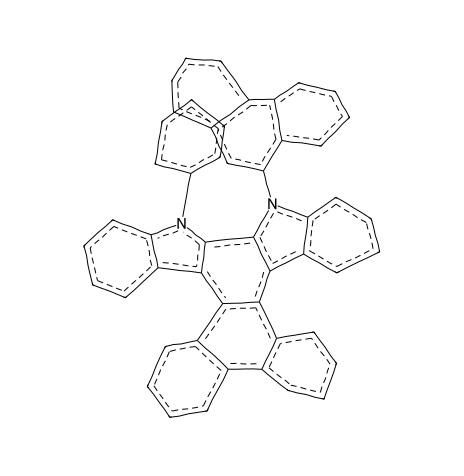 c1ccc(-n2c3ccccc3c3c4c5ccccc5c5ccccc5c4c4c5ccccc5n(-c5cc6ccccc6c6ccccc56)c4c32)cc1